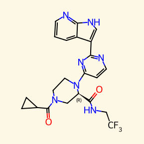 O=C(NCC(F)(F)F)[C@H]1CN(C(=O)C2CC2)CCN1c1ccnc(-c2c[nH]c3ncccc23)n1